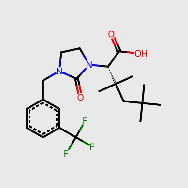 CC(C)(C)CC(C)(C)[C@@H](C(=O)O)N1CCN(Cc2cccc(C(F)(F)F)c2)C1=O